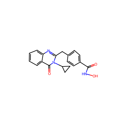 O=C(NO)c1ccc(Cc2nc3ccccc3c(=O)n2C2CC2)cc1